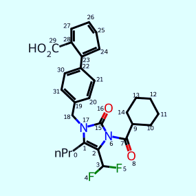 CCCc1c(C(F)F)n(C(=O)C2CCCCC2)c(=O)n1Cc1ccc(-c2ccccc2C(=O)O)cc1